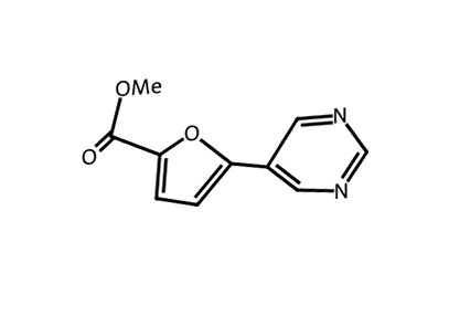 COC(=O)c1ccc(-c2cncnc2)o1